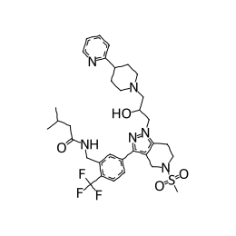 CC(C)CC(=O)NCc1cc(-c2nn(CC(O)CN3CCC(c4ccccn4)CC3)c3c2CN(S(C)(=O)=O)CC3)ccc1C(F)(F)F